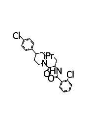 CC(C)CC(NC(=O)c1ccccc1Cl)C(=O)N1CCC(c2ccc(Cl)cc2)CC1